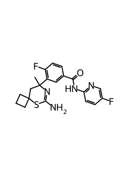 CC1(c2cc(C(=O)Nc3ccc(F)cn3)ccc2F)CC2(CCC2)SC(N)=N1